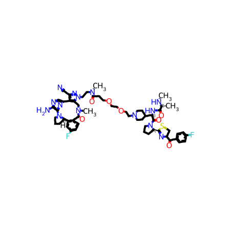 CN[C@H](C)C(=O)N[C@@H](C(=O)N1CCC[C@@H]1C1=NC(C(=O)c2ccc(F)cc2)CS1)C1CCN(CCOCCOCCC(=O)N(C)CCn2nc(C#N)c3c2CN(C)C(=O)c2ccc(F)cc2[C@H]2CCCN2c2nc-3cnc2N)CC1